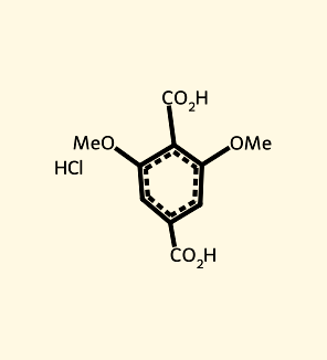 COc1cc(C(=O)O)cc(OC)c1C(=O)O.Cl